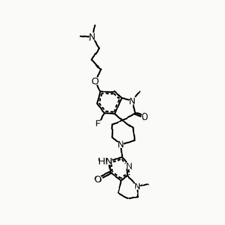 CN(C)CCCOc1cc(F)c2c(c1)N(C)C(=O)C21CCN(c2nc3c(c(=O)[nH]2)CCCN3C)CC1